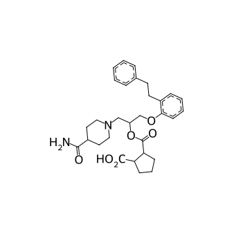 NC(=O)C1CCN(CC(COc2ccccc2CCc2ccccc2)OC(=O)C2CCCC2C(=O)O)CC1